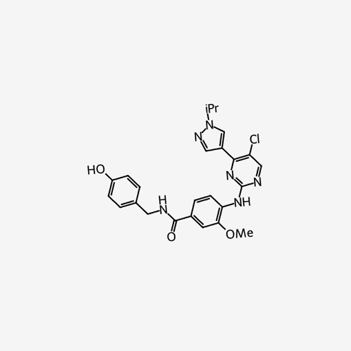 COc1cc(C(=O)NCc2ccc(O)cc2)ccc1Nc1ncc(Cl)c(-c2cnn(C(C)C)c2)n1